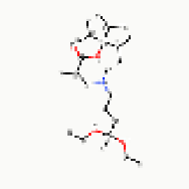 CCO[Si](C)(CCCN(C)CC(C)C(=O)O[Si](C(C)C)(C(C)C)C(C)C)OCC